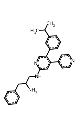 CC(C)c1cccc(-c2cnc(NCC(N)Cc3ccccc3)cc2-c2ccncc2)c1